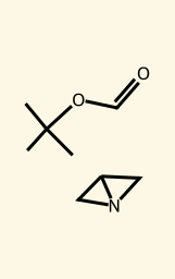 C1C2CN12.CC(C)(C)OC=O